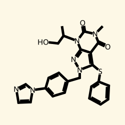 CC(CO)n1c(=O)n(C)c(=O)c2c(Sc3ccccc3)n(Cc3ccc(-n4ccnc4)cc3)nc21